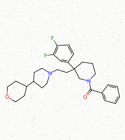 O=C(c1ccccc1)N1CCCC(CCN2CCC(C3CCOCC3)CC2)(c2ccc(F)c(F)c2)C1